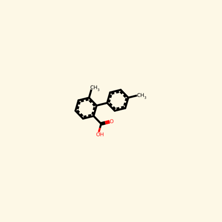 Cc1ccc(-c2c(C)cccc2C(=O)O)cc1